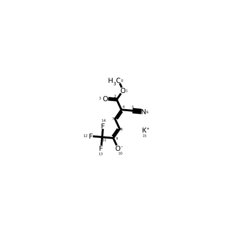 COC(=O)/C(C#N)=C/C=C(/[O-])C(F)(F)F.[K+]